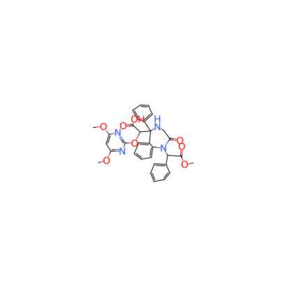 COC(=O)C(c1ccccc1)N1C(=O)CNC(c2ccccc2)(C(Oc2nc(OC)cc(OC)n2)C(=O)O)c2ccccc21